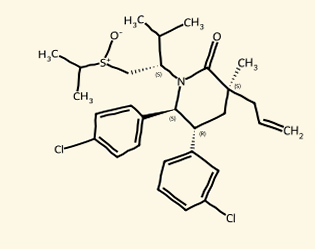 C=CC[C@@]1(C)C[C@H](c2cccc(Cl)c2)[C@@H](c2ccc(Cl)cc2)N([C@H](C[S+]([O-])C(C)C)C(C)C)C1=O